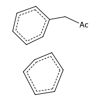 CC(=O)Cc1ccccc1.c1ccccc1